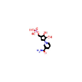 NC(=O)C1=CN(C2CC(COP(=O)(O)O)C(O)C2O)C=CC1